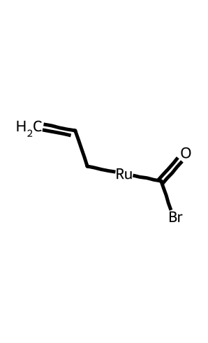 C=C[CH2][Ru][C](=O)Br